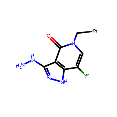 CC(C)Cn1cc(Br)c2[nH]nc(NN)c2c1=O